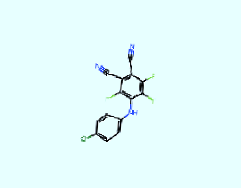 N#Cc1c(F)c(F)c(Nc2ccc(Cl)cc2)c(F)c1C#N